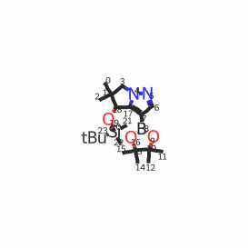 CC1(C)Cn2ncc(B3OC(C)(C)C(C)(C)O3)c2C1O[Si](C)(C)C(C)(C)C